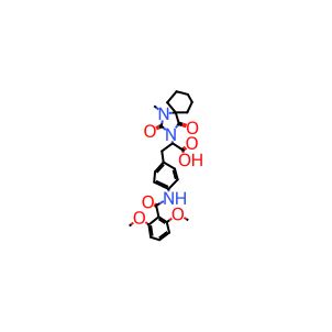 COc1cccc(OC)c1C(=O)Nc1ccc(CC(C(=O)O)N2C(=O)N(C)C3(CCCCC3)C2=O)cc1